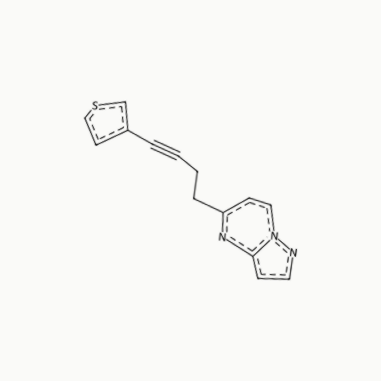 C(#Cc1ccsc1)CCc1ccn2nccc2n1